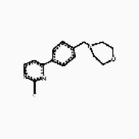 Clc1nccc(-c2ccc(CN3CCOCC3)cc2)n1